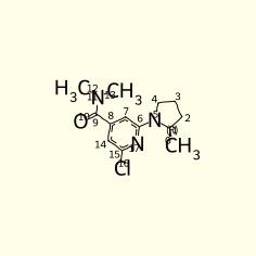 C[C@@H]1CCCN1c1cc(C(=O)N(C)C)cc(Cl)n1